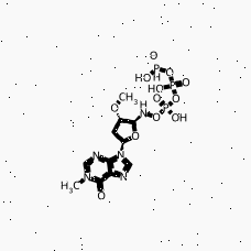 CO[C@H]1C[C@H](n2cnc3c(=O)n(C)cnc32)O[C@@H]1NOP(=O)(O)OP(=O)(O)O[PH](=O)O